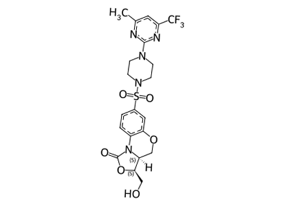 Cc1cc(C(F)(F)F)nc(N2CCN(S(=O)(=O)c3ccc4c(c3)OC[C@H]3[C@@H](CO)OC(=O)N43)CC2)n1